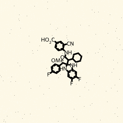 COC(c1ccc(F)cc1)C1(C(C(=O)Nc2ccc(C(=O)O)cc2C#N)C2CCCCC2)Nc2cc(F)c(F)cc2N1